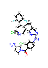 NC1CCN(C(=O)c2ccc(Nc3ncc4c(n3)C3=CN=C(Cl)C=C(c5c(F)cccc5F)C3=CC4)cc2Cl)C1